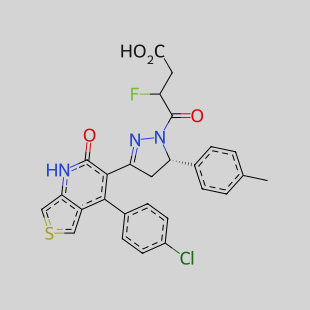 Cc1ccc([C@@H]2CC(c3c(-c4ccc(Cl)cc4)c4cscc4[nH]c3=O)=NN2C(=O)C(F)CC(=O)O)cc1